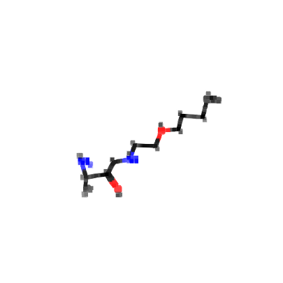 COCCCOCCNCC(=O)C(N)C(C)C